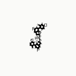 Cc1cc(Cl)ccc1-c1cc(F)cc2c1O[C@@H](CNC[C@H]1Cc3cc(F)cc(-c4cc(Cl)ccc4C)c3O1)C2